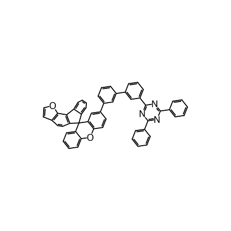 c1ccc(-c2nc(-c3ccccc3)nc(-c3cccc(-c4cccc(-c5ccc6c(c5)C5(c7ccccc7O6)c6ccccc6-c6c5ccc5ccoc65)c4)c3)n2)cc1